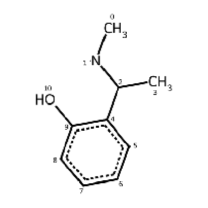 C[N]C(C)c1ccccc1O